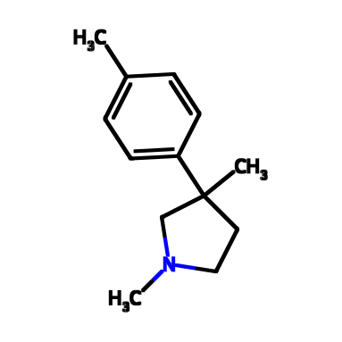 Cc1ccc(C2(C)CCN(C)C2)cc1